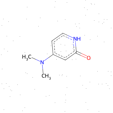 CN(C)c1cc[nH]c(=O)c1